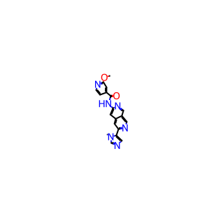 COc1cc(C(=O)Nc2cc3cc(-c4cncn4C)ncc3cn2)ccn1